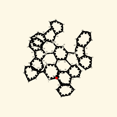 c1ccc(-c2nc(-c3ccccc3)nc(-c3c(-c4cccc5ccccc45)c(-n4c5ccccc5c5ccccc54)nc(-n4c5ccccc5c5ccccc54)c3-n3c4ccccc4c4ccccc43)n2)cc1